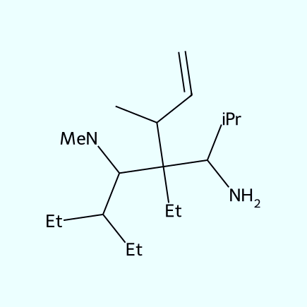 C=CC(C)C(CC)(C(N)C(C)C)C(NC)C(CC)CC